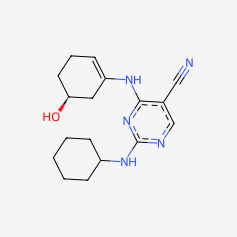 N#Cc1cnc(NC2CCCCC2)nc1NC1=CCC[C@H](O)C1